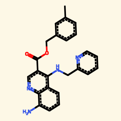 Cc1cccc(COC(=O)c2cnc3c(N)cccc3c2NCc2ccccn2)c1